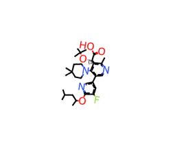 Cc1ncc(-c2cnc(OC(C)CC(C)C)c(F)c2)c(N2CCC(C)(C)CC2)c1[C@H](OC(C)(C)C)C(=O)O